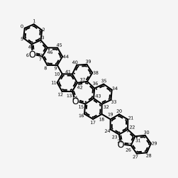 c1ccc2c(c1)oc1cc(-c3ccc4oc5ccc(-c6ccc7c(c6)oc6ccccc67)c6cccc(c7cccc3c47)c56)ccc12